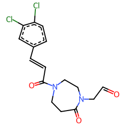 O=CCN1CCN(C(=O)C=Cc2ccc(Cl)c(Cl)c2)CCC1=O